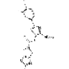 CCCCCc1nc(-c2ccc(F)c(C)c2)nn1CC(=O)N1Cc2nc(C)oc2C1